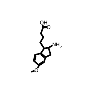 COc1ccc2c(c1)CC(N)C2CCCC(=O)O